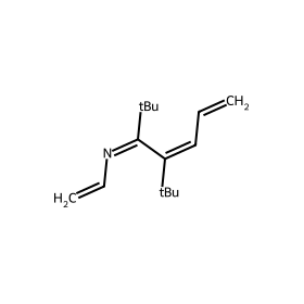 C=C/C=C(\C(=N/C=C)C(C)(C)C)C(C)(C)C